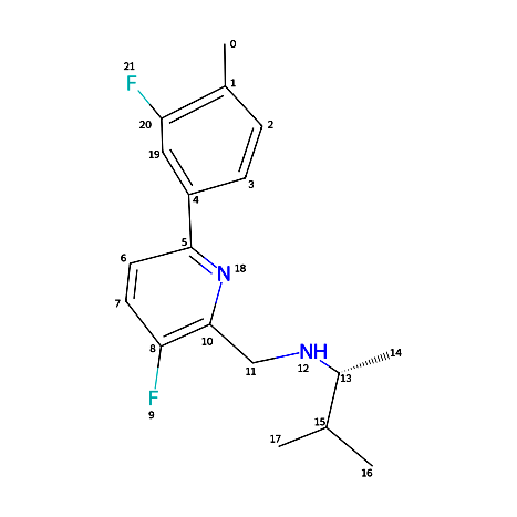 Cc1ccc(-c2ccc(F)c(CN[C@H](C)C(C)C)n2)cc1F